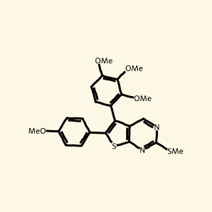 COc1ccc(-c2sc3nc(SC)ncc3c2-c2ccc(OC)c(OC)c2OC)cc1